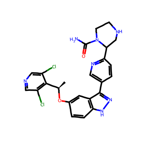 C[C@@H](Oc1ccc2[nH]nc(-c3ccc(C4CNCCN4C(N)=O)nc3)c2c1)c1c(Cl)cncc1Cl